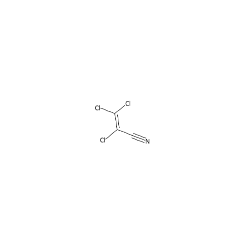 N#CC(Cl)=C(Cl)Cl